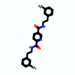 O=C(NCCc1cccc(C(F)(F)F)c1)c1ccc(C(=O)NCCc2cccc(C(F)(F)F)c2)nc1